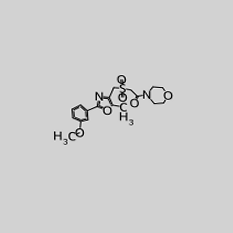 COc1cccc(-c2nc(CS(=O)(=O)CC(=O)N3CCOCC3)c(C)o2)c1